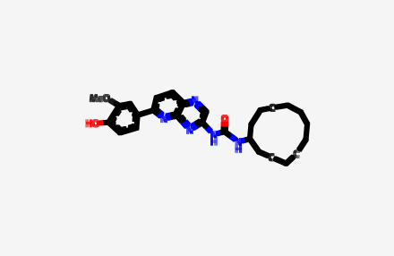 COc1cc(-c2ccc3ncc(NC(=O)NC4CCCCCCCCCCC4)nc3n2)ccc1O